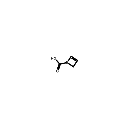 O=C(O)B1C=CC1